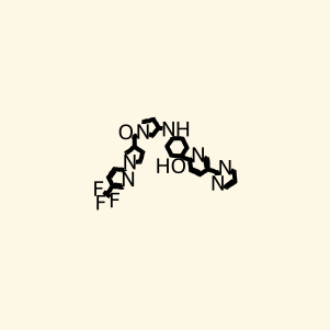 O=C(C1CCN(c2ccc(C(F)(F)F)cn2)C1)N1CCC(NC2CCC(O)(c3ccc(-c4ncccn4)cn3)CC2)C1